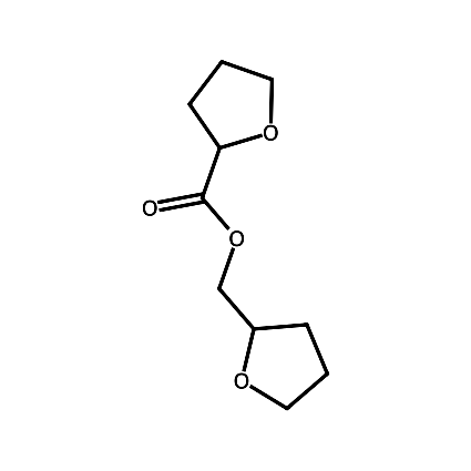 O=C(OCC1CCCO1)C1CCCO1